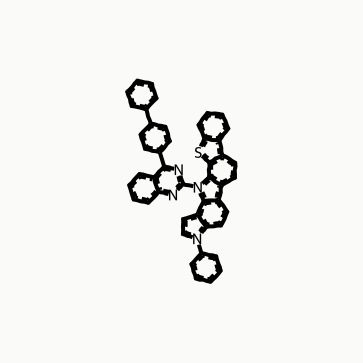 c1ccc(-c2ccc(-c3nc(-n4c5c(ccc6c5ccn6-c5ccccc5)c5ccc6c7ccccc7sc6c54)nc4ccccc34)cc2)cc1